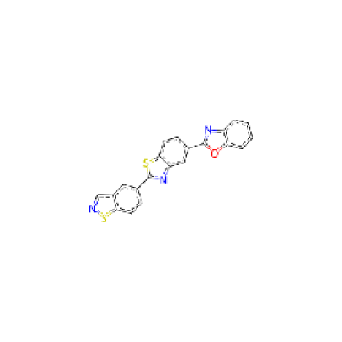 c1ccc2oc(-c3ccc4sc(-c5ccc6sncc6c5)nc4c3)nc2c1